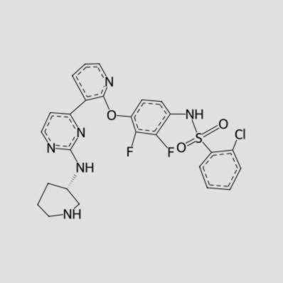 O=S(=O)(Nc1ccc(Oc2ncccc2-c2ccnc(N[C@H]3CCCNC3)n2)c(F)c1F)c1ccccc1Cl